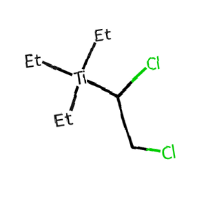 C[CH2][Ti]([CH2]C)([CH2]C)[CH](Cl)CCl